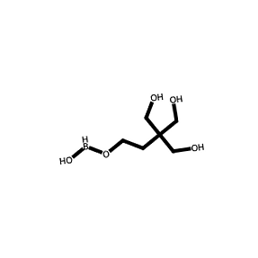 OBOCCC(CO)(CO)CO